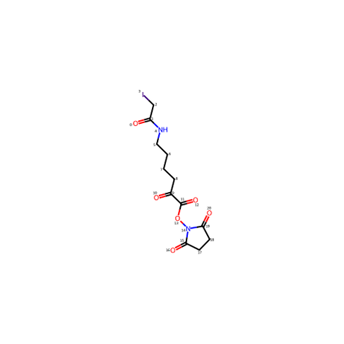 O=C(CI)NCCCCC(=O)C(=O)ON1C(=O)CCC1=O